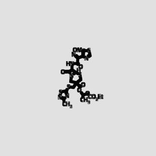 CCOC(=O)OC(C)OC(=O)C1(CSc2nc(C)ns2)CS[C@@H]2C(NC(=O)C(=NOC)c3cscn3)C(=O)N2C1